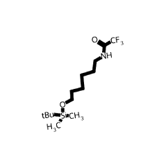 CC(C)(C)[Si](C)(C)OCCCCCCNC(=O)C(F)(F)F